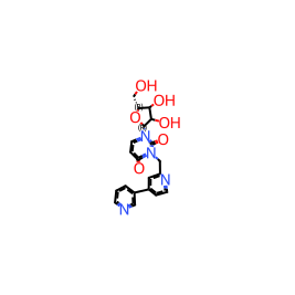 O=c1ccn([C@@H]2O[C@H](CO)C(O)C2O)c(=O)n1Cc1cc(-c2cccnc2)ccn1